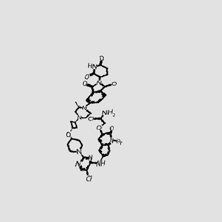 CC(C)n1c(=O)c(OCC(N)=O)cc2cc(Nc3nc(N4CCC(O[C@H]5C[C@H](N6CCN(c7ccc8c(c7)C(=O)N(C7CCC(=O)NC7=O)C8=O)[C@H](C)C6)C5)CC4)ncc3Cl)ccc21